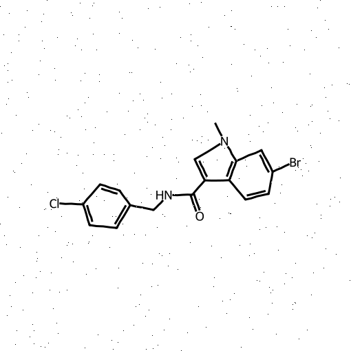 Cn1cc(C(=O)NCc2ccc(Cl)cc2)c2ccc(Br)cc21